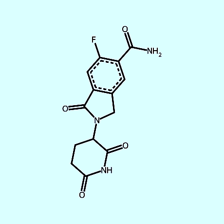 NC(=O)c1cc2c(cc1F)C(=O)N(C1CCC(=O)NC1=O)C2